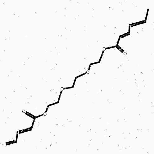 C=C/C=C/C(=O)OCCOCCOCCOC(=O)/C=C/C=C/C